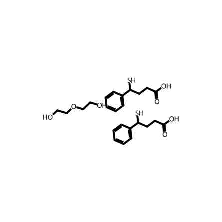 O=C(O)CCC(S)c1ccccc1.O=C(O)CCC(S)c1ccccc1.OCCOCCO